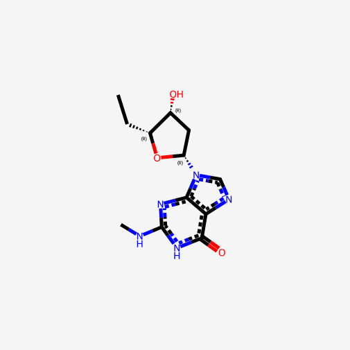 CC[C@H]1O[C@@H](n2cnc3c(=O)[nH]c(NC)nc32)C[C@H]1O